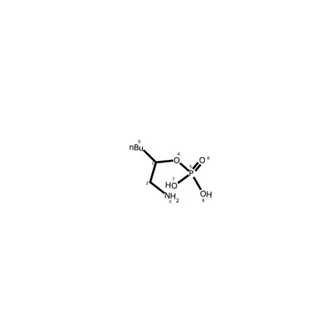 CCCCC(CN)OP(=O)(O)O